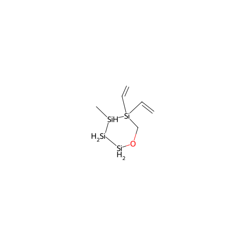 C=C[Si]1(C=C)CO[SiH2][SiH2][SiH]1C